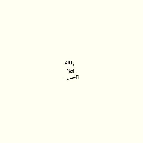 [AlH3].[F][Ti].[NaH]